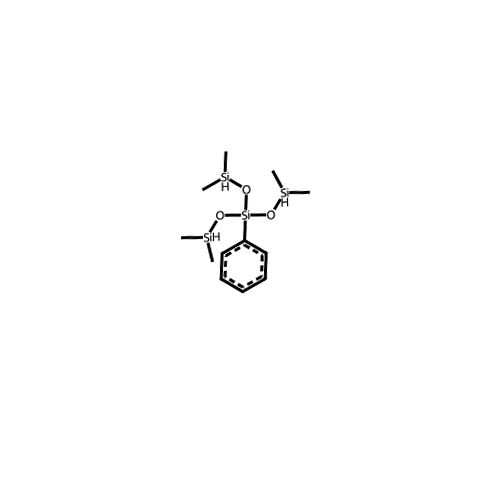 C[SiH](C)O[Si](O[SiH](C)C)(O[SiH](C)C)c1ccccc1